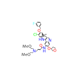 COCCN(C/C=C/C(=O)Nc1cc2c(Nc3ccc(OCc4cccc(F)c4)c(Cl)c3)c(C#N)cnc2cc1O[C@H]1CCOC1)CCOC